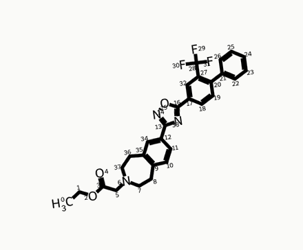 CCOC(=O)CN1CCc2ccc(-c3noc(-c4ccc(-c5ccccc5)c(C(F)(F)F)c4)n3)cc2CC1